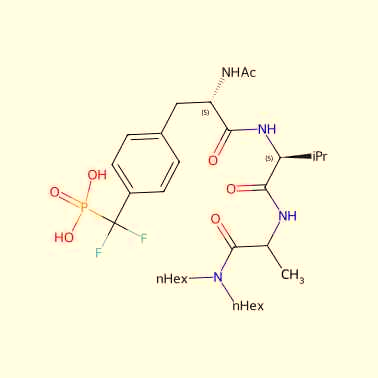 CCCCCCN(CCCCCC)C(=O)C(C)NC(=O)[C@@H](NC(=O)[C@H](Cc1ccc(C(F)(F)P(=O)(O)O)cc1)NC(C)=O)C(C)C